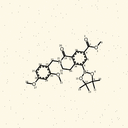 COC(=O)c1cc(B2OC(C)(C)C(C)(C)O2)c2c(c1)C(=O)N(Cc1ccc(OC)cc1OC)CC2